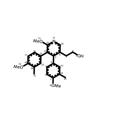 COc1ccc(-c2c(CCO)[c]nc(OC)c2-c2ccc(OC)c(C)c2)cc1C